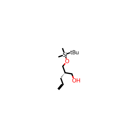 C=CC[C@@H](CO)CO[Si](C)(C)C(C)(C)C